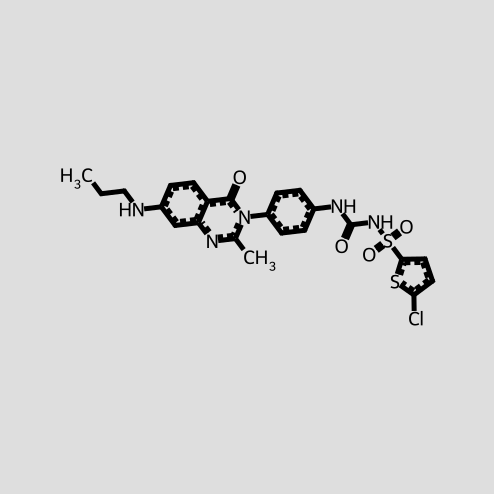 CCCNc1ccc2c(=O)n(-c3ccc(NC(=O)NS(=O)(=O)c4ccc(Cl)s4)cc3)c(C)nc2c1